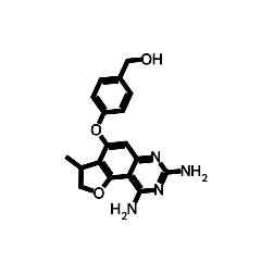 CC1COc2c1c(Oc1ccc(CO)cc1)cc1nc(N)nc(N)c21